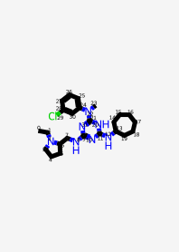 CCN1CCCC1CNC1=NC(NC2CCCCCC2)NC(N(C)c2cccc(Cl)c2)=N1